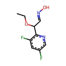 CCOC(C=NO)c1ncc(F)cc1F